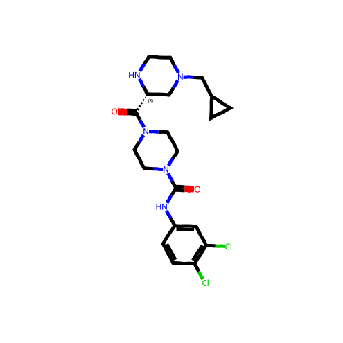 O=C(Nc1ccc(Cl)c(Cl)c1)N1CCN(C(=O)[C@H]2CN(CC3CC3)CCN2)CC1